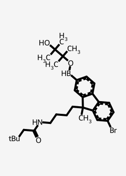 CC(C)(C)CC(=O)NCCCCC1(C)c2cc(Br)ccc2-c2ccc(BOC(C)(C)C(C)(C)O)cc21